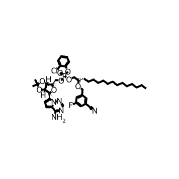 CCCCCCCCCCCCCC[C@@H](COP(=O)(OC[C@H]1O[C@@H](c2ccc3c(N)ncnn23)[C@@H]2OC(C)(C)O[C@@H]21)Oc1ccccc1Cl)OCc1cc(F)cc(C#N)c1